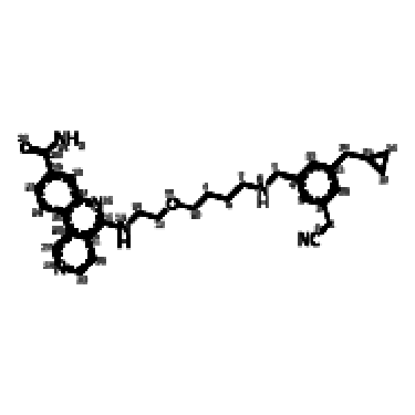 N#CCc1cc(CNCCCCOCCNc2nc3cc(C(N)=O)ccc3c3cnccc23)cc(CC2CC2)c1